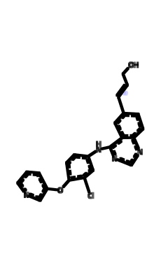 OC/C=C/c1ccc2ncnc(Nc3ccc(Oc4cccnc4)c(Cl)c3)c2c1